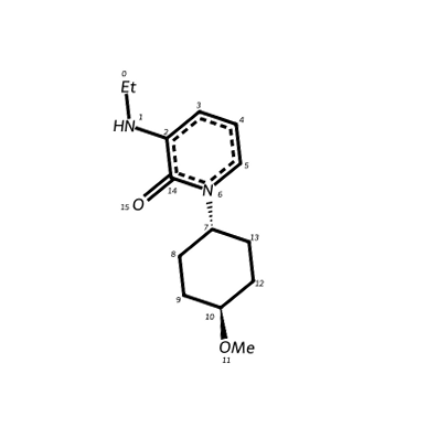 CCNc1cccn([C@H]2CC[C@H](OC)CC2)c1=O